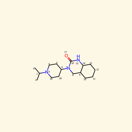 CC(C)N1CCC(N2CC3CCCCC3NC2=O)CC1